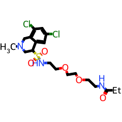 CCC(=O)NCCOCCOCCNS(=O)(=O)C1CN(C)Cc2c(Cl)cc(Cl)cc21